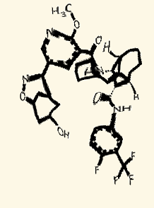 COc1ncc(C2=NOC3CC(O)CC23)cc1C(=O)N[C@H]1[C@@H](C(=O)Nc2ccc(F)c(C(F)(F)F)c2)[C@H]2CC[C@@H]1/C2=C\C1CCC1